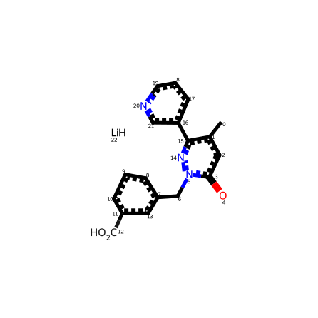 Cc1cc(=O)n(Cc2cccc(C(=O)O)c2)nc1-c1cccnc1.[LiH]